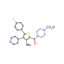 CC(C)(C)c1c(C(=O)N2CCN(C(=O)O)CC2)sc(-c2ccc(F)cc2)c1-c1ccncc1